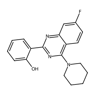 Oc1ccccc1-c1nc(N2CCCCC2)c2ccc(F)cc2n1